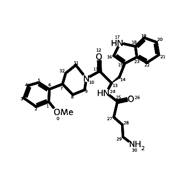 COc1ccccc1C1CCN(C(=O)[C@@H](Cc2c[nH]c3ccccc23)NC(=O)CCCN)CC1